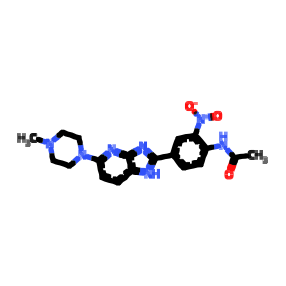 CC(=O)Nc1ccc(-c2nc3nc(N4CCN(C)CC4)ccc3[nH]2)cc1[N+](=O)[O-]